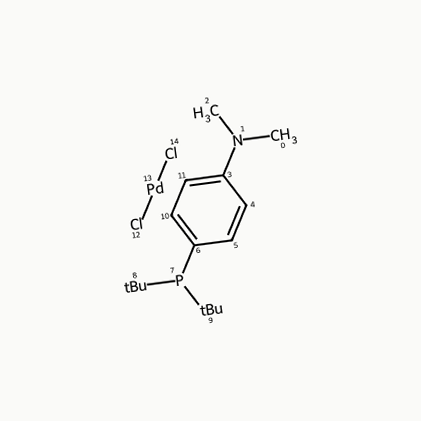 CN(C)c1ccc(P(C(C)(C)C)C(C)(C)C)cc1.[Cl][Pd][Cl]